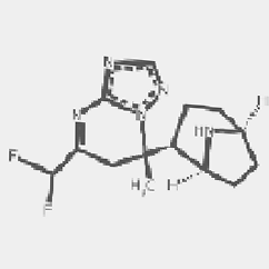 CC1([C@H]2CC[C@H]3CC[C@@H]2N3)CC(C(F)F)=Nc2ncnn21